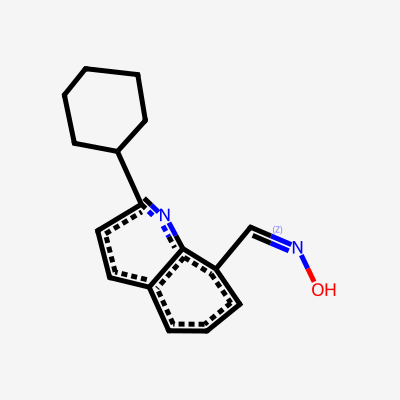 O/N=C\c1cccc2ccc(C3CCCCC3)nc12